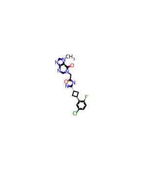 Cn1cnc2ncn(Cc3nc([C@H]4C[C@H](c5cc(Cl)ccc5F)C4)no3)c(=O)c21